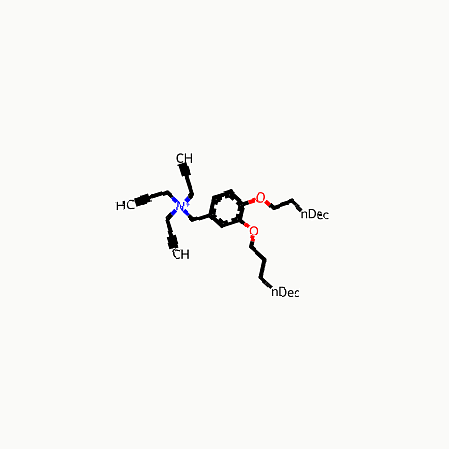 C#CC[N+](CC#C)(CC#C)Cc1ccc(OCCCCCCCCCCCC)c(OCCCCCCCCCCCCC)c1